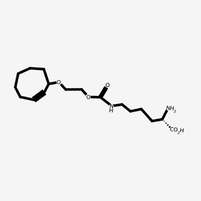 N[C@@H](CCCCNC(=O)OCCOC1C#CCCCCC1)C(=O)O